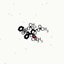 CCO[C@H]1O[C@H](COC(C)=O)[C@@H](OC(C)=O)C[C@]1(OC(C)=O)c1cn(S(=O)(=O)c2ccccc2)c2ccccc12